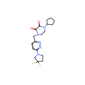 O=C1C(=O)N(C2CCCC2)CCN1Cc1ccc(N2CCC(F)(F)C2)nn1